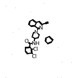 C#Cc1cc2ccccc2c(N2CCC(NC(=O)c3cccc(Cl)c3Cl)CC2)n1.c1ccccc1